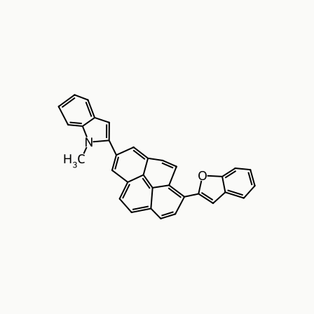 Cn1c(-c2cc3ccc4ccc(-c5cc6ccccc6o5)c5ccc(c2)c3c45)cc2ccccc21